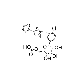 O=C(O)OC[C@H]1O[C@@H](c2ccc(Cl)c(Cc3ncc(-c4ccco4)s3)c2)[C@H](O)[C@@H](O)[C@@H]1O